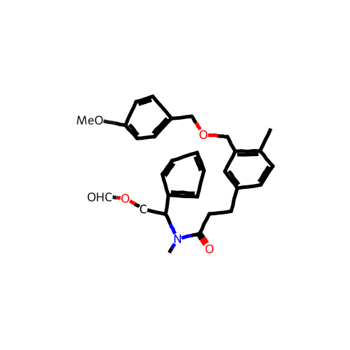 COc1ccc(COCc2cc(CCC(=O)N(C)C(COC=O)c3ccccc3)ccc2C)cc1